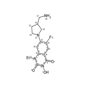 CCn1c(=O)n(O)c(=O)c2cc(F)c(N3CCC(CN)C3)cc21